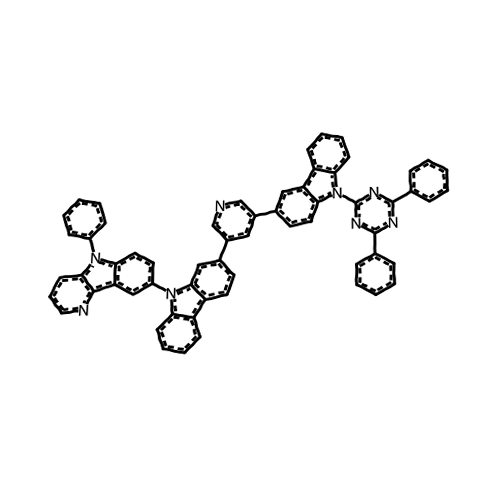 c1ccc(-c2nc(-c3ccccc3)nc(-n3c4ccccc4c4cc(-c5cncc(-c6ccc7c8ccccc8n(-c8ccc9c(c8)c8ncccc8n9-c8ccccc8)c7c6)c5)ccc43)n2)cc1